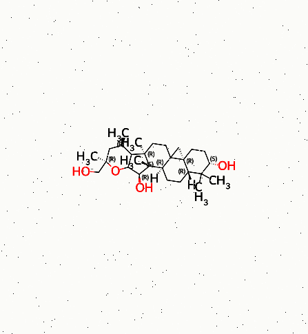 C[C@@H]1C[C@](C)(CO)OC2C1[C@@]1(C)CCC34C[C@@]35CC[C@H](O)C(C)(C)[C@@H]5CC[C@H]4[C@]1(C)[C@H]2O